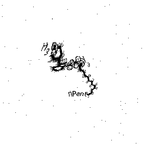 CCCCC/C=C\C/C=C\CCCCCCCC(=O)OC(C)OC(=O)n1cc(C2CCN(C)CC2)c2ccccc21